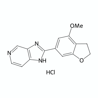 COc1cc(-c2nc3cnccc3[nH]2)cc2c1CCO2.Cl